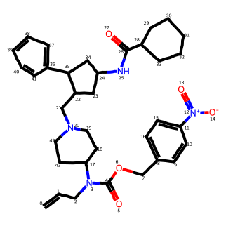 C=CCN(C(=O)OCc1ccc([N+](=O)[O-])cc1)C1CCN(CC2CC(NC(=O)C3CCCCC3)CC2c2ccccc2)CC1